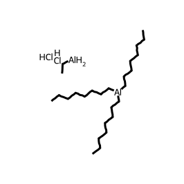 CCCCCCC[CH2][Al]([CH2]CCCCCCC)[CH2]CCCCCCC.C[CH2][AlH2].Cl.Cl